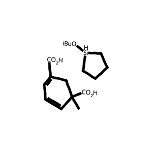 CC(C)CO[SiH]1CCCC1.CC1(C(=O)O)C=CC=C(C(=O)O)C1